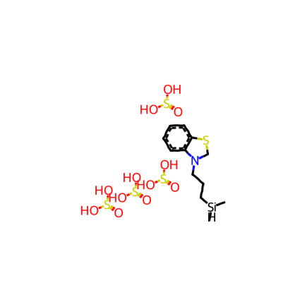 C[SiH](C)CCCN1CSc2ccccc21.O=S(O)O.O=S(O)O.O=S(O)O.O=S(O)O